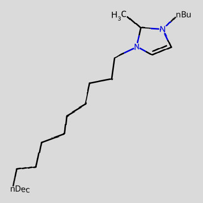 CCCCCCCCCCCCCCCCCCCN1C=CN(CCCC)C1C